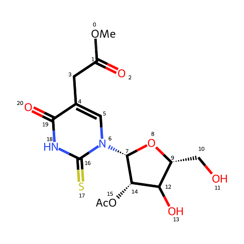 COC(=O)Cc1cn([C@@H]2O[C@H](CO)C(O)[C@@H]2OC(C)=O)c(=S)[nH]c1=O